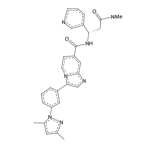 CNC(=O)C[C@H](NC(=O)c1ccn2c(-c3cccc(-n4nc(C)cc4C)c3)cnc2c1)c1cccnc1